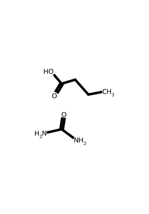 CCCC(=O)O.NC(N)=O